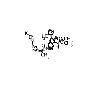 Cc1ccncc1-c1cc2cc(NC(=O)[C@H]3C(C)[C@@H]3c3cnn(CCN4CC(O)C4)c3)ncc2c(NC(=O)OC(C)(C)C)c1F